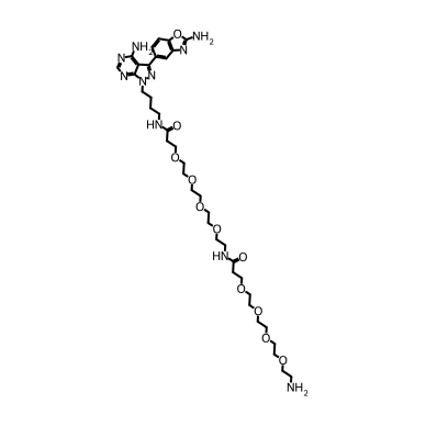 NCCOCCOCCOCCOCCC(=O)NCCOCCOCCOCCOCCC(=O)NCCCCn1nc(-c2ccc3oc(N)nc3c2)c2c(N)ncnc21